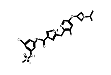 CC(C)N1CC(Oc2cnc(Cc3cc(C(=O)Nc4cc(Cl)cc(NS(C)(=O)=O)c4)c[nH]3)c(F)c2)C1